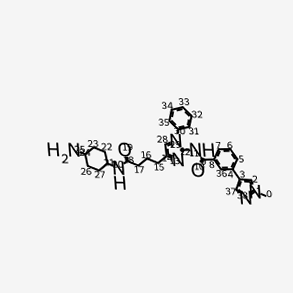 Cn1cc(-c2cccc(C(=O)Nc3nc(CCCC(=O)NC4CCC(N)CC4)cn3-c3ccccc3)c2)cn1